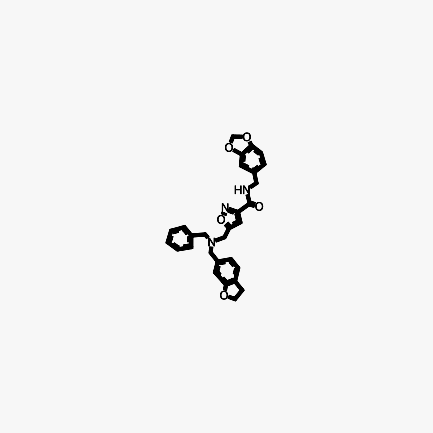 O=C(NCc1ccc2c(c1)OCO2)c1cc(CN(Cc2ccccc2)Cc2ccc3c(c2)OCC3)on1